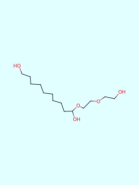 OCCCCCCCCCC(O)OCCOCCO